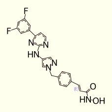 O=C(/C=C/c1ccc(Cn2cc(Nc3nccc(-c4cc(F)cc(F)c4)n3)cn2)cc1)NO